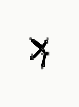 O=P(Cl)(Cl)NCl